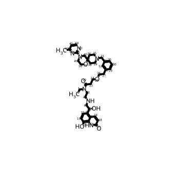 CCN(CCNC[C@H](O)c1ccc(O)c2[nH]c(=O)ccc12)C(=O)CCOCCc1cccc(CN2CCC3(CC2)CN(c2nccc(C)n2)CCO3)c1